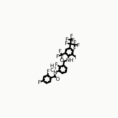 CN(C(=O)c1ccc(F)cc1F)c1cccc(C(=O)Nc2c(I)cc(C(F)(C(F)(F)F)C(F)(F)F)cc2C(F)(F)F)c1F